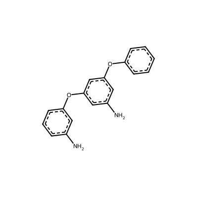 Nc1cccc(Oc2cc(N)cc(Oc3ccccc3)c2)c1